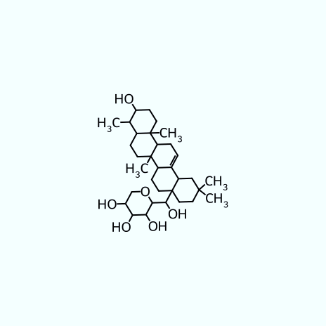 CC1C(O)CCC2(C)C1CCC1(C)C3CCC4(C(O)C5OCC(O)C(O)C5O)CCC(C)(C)CC4C3=CCC12